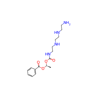 C[C@H](OC(=O)NCCNCCNCCN)OC(=O)c1ccccc1